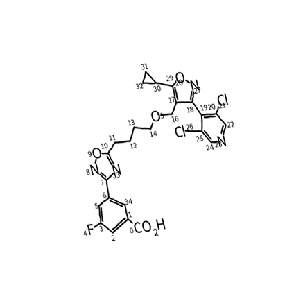 O=C(O)c1cc(F)cc(-c2noc(CCCCOCc3c(-c4c(Cl)cncc4Cl)noc3C3CC3)n2)c1